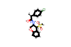 C[C@H](C(=O)NC1COc2ccccc2C1S(C)(=O)=O)c1ccc(Cl)cc1